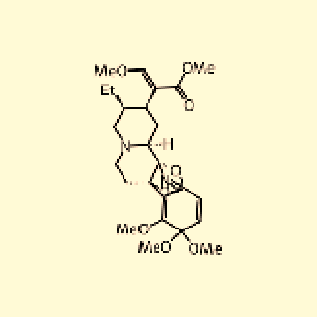 CC[C@@H]1CN2CC[C@@]34OCCO[C@@]3(N=C3C=CC(OC)(OC)C(OC)=C34)[C@@H]2C[C@@H]1/C(=C\OC)C(=O)OC